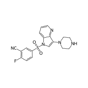 N#Cc1cc(S(=O)(=O)n2cc(N3CCNCC3)c3ncccc32)ccc1F